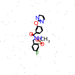 CS(=O)(=O)c1cc(F)ccc1CNC(=O)c1cccc(Oc2ncccn2)c1